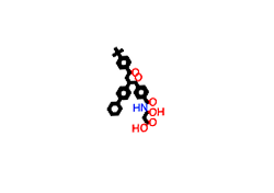 CC(C)(C)c1ccc(C(=O)CC(C(=O)c2ccc(C(=O)NC(O)CC(=O)O)cc2)c2ccc(C3CCCCC3)cc2)cc1